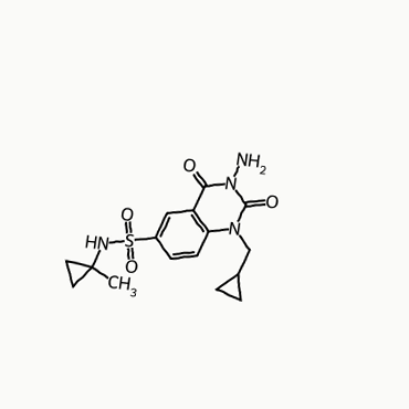 CC1(NS(=O)(=O)c2ccc3c(c2)c(=O)n(N)c(=O)n3CC2CC2)CC1